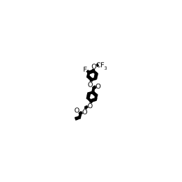 C=CC(=O)OCOc1ccc(C(=O)Oc2ccc(OC(F)(F)F)c(F)c2)cc1